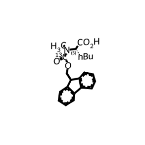 CCCC[C@@H](C(=O)O)N(C)[13C](=O)OCC1c2ccccc2-c2ccccc21